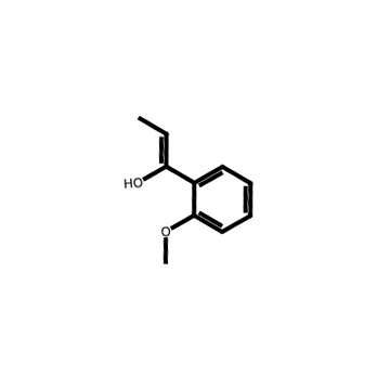 CC=C(O)c1ccccc1OC